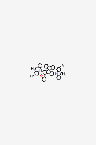 Cc1ccccc1N(c1ccc(C(C)C)cc1)c1ccc2c(c1)C1(c3ccccc3-c3ccccc31)c1cc(N(c3ccc(C(C)C)cc3)c3ccccc3C)c3oc4ccccc4c3c1-2